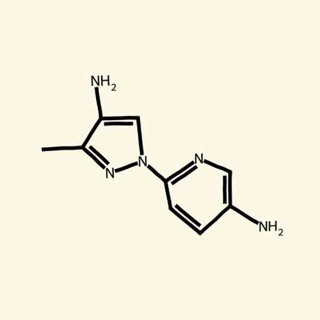 Cc1nn(-c2ccc(N)cn2)cc1N